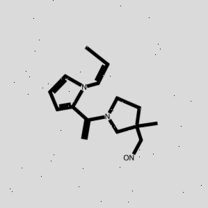 C=C(c1cccn1/C=C\C)N1CCC(C)(CN=O)C1